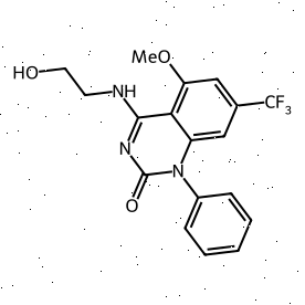 COc1cc(C(F)(F)F)cc2c1c(NCCO)nc(=O)n2-c1ccccc1